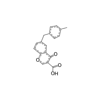 Cc1ccc(Cc2ccc3occ(C(=O)O)c(=O)c3c2)cc1